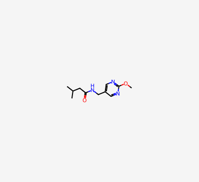 COc1ncc(CNC(=O)CC(C)C)cn1